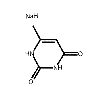 Cc1cc(=O)[nH]c(=O)[nH]1.[NaH]